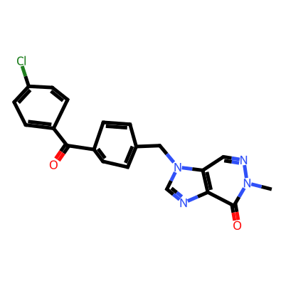 Cn1ncc2c(ncn2Cc2ccc(C(=O)c3ccc(Cl)cc3)cc2)c1=O